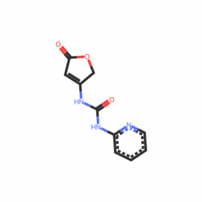 O=C(NC1=CC(=O)OC1)Nc1ccccn1